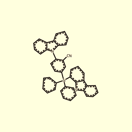 N#Cc1cc([Si](c2ccccc2)(c2ccccc2)c2cccc3c2sc2ccccc23)ccc1-n1c2ccccc2c2ccccc21